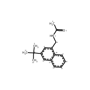 CC(=O)NCc1cc(C(C)(C)C)cc2ccccc12